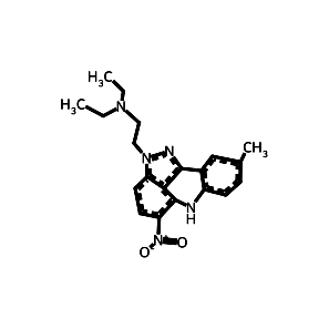 CCN(CC)CCn1nc2c3c(c([N+](=O)[O-])ccc31)Nc1ccc(C)cc1-2